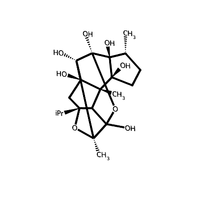 CC(C)[C@@]12C[C@@]3(O)[C@@]4(C)C1C1(O)O[C@](O)([C@]5(O)[C@H](C)CC[C@]45O)[C@@]3(O)[C@]1(C)O2